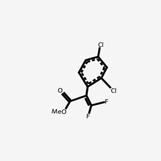 COC(=O)C(=C(F)F)c1ccc(Cl)cc1Cl